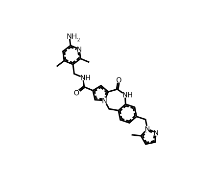 Cc1cc(N)nc(C)c1CNC(=O)c1cc2n(c1)Cc1ccc(Cn3nccc3C)cc1NC2=O